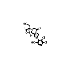 C[C@@H](O)[C@@H](CO)N1CC(=O)N2C[C@@H](c3c(O)ccc(Cl)c3Cl)C[C@H]2C1